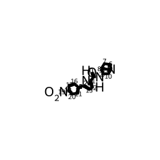 O=C(NC1CN2CCC1CC2)c1ccc(-c2ccc([N+](=O)[O-])cc2)[nH]1